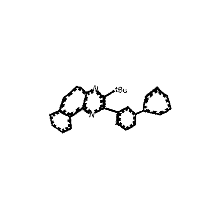 CC(C)(C)c1nc2ccc3ccccc3c2nc1-c1cccc(-c2ccccc2)c1